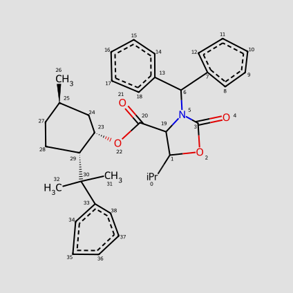 CC(C)C1OC(=O)N(C(c2ccccc2)c2ccccc2)C1C(=O)O[C@H]1C[C@H](C)CC[C@H]1C(C)(C)c1ccccc1